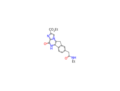 CCNC(=O)Cc1ccc2c(c1)Cc1c-2[nH]c(=O)c2nc(C(=O)OCC)cn12